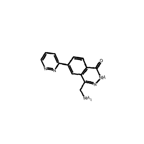 NCc1n[nH]c(=O)c2ccc(-c3cccnn3)cc12